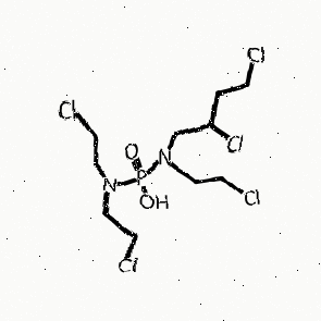 O=P(O)(N(CCCl)CCCl)N(CCCl)CC(Cl)CCCl